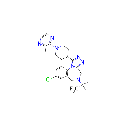 Cc1nccnc1N1CCC(c2nnc3n2-c2ccc(Cl)cc2CN(C(C)(C)C(F)(F)F)C3)CC1